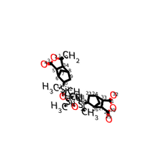 C=C1OC(=O)C2C3CC(CC3[Si](C)(C)O[Si](C)(C)O[Si](C)(C)C3CC4CC3C3C(=O)OC(=O)C43)C12